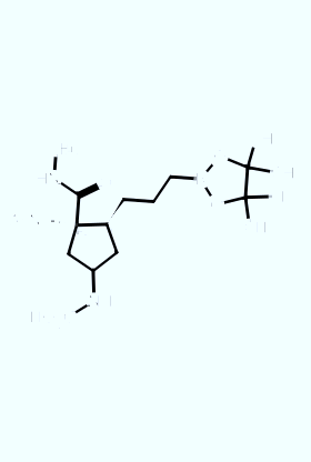 CC(=O)N[C@@]1(C(=O)NC(C)(C)C)CC(NC(=O)O)C[C@@H]1CCCB1OC(C)(C)C(C)(C)O1